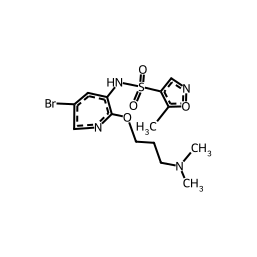 Cc1oncc1S(=O)(=O)Nc1cc(Br)cnc1OCCCN(C)C